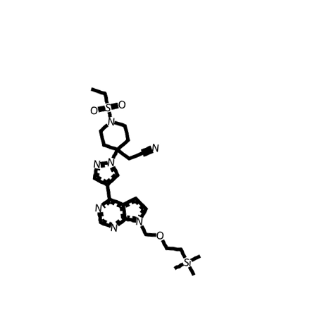 CCS(=O)(=O)N1CCC(CC#N)(n2cc(-c3ncnc4c3ccn4COCC[Si](C)(C)C)cn2)CC1